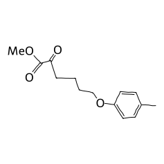 COC(=O)C(=O)CCCCOc1ccc(C)cc1